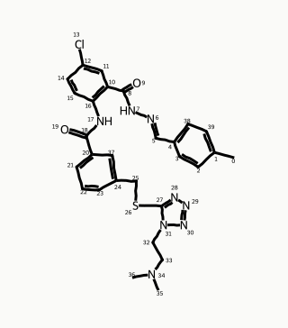 Cc1ccc(C=NNC(=O)c2cc(Cl)ccc2NC(=O)c2cccc(CSc3nnnn3CCN(C)C)c2)cc1